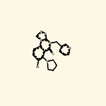 O=c1c2c(N3CCCC3)c(Br)ccc2n2cnnc2n1Cc1cccnc1